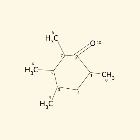 CC1CC(C)C(C)C(C)C1=O